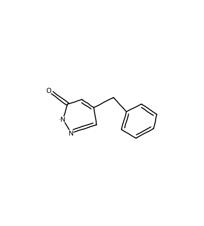 O=C1C=C(Cc2ccccc2)C=N[N]1